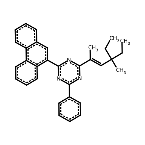 CCC(C)(/C=C(\C)c1nc(-c2ccccc2)nc(-c2cc3ccccc3c3ccccc23)n1)CC